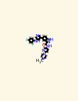 CN1CCN(c2ccc(NC(=O)c3n[nH]c4ccc(-c5cncc(Nc6ccc(F)cc6F)c5)cc34)cn2)CC1